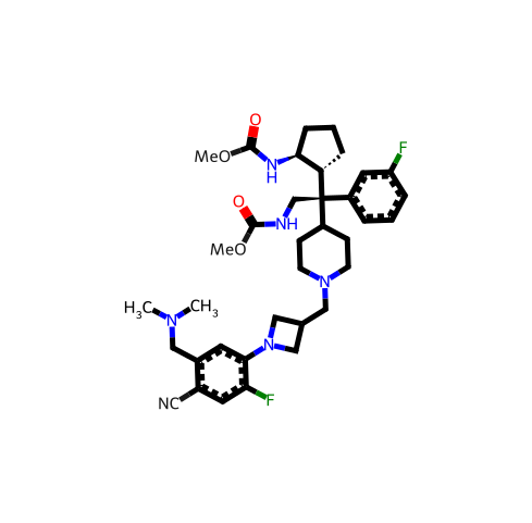 COC(=O)NC[C@@](c1cccc(F)c1)(C1CCN(CC2CN(c3cc(CN(C)C)c(C#N)cc3F)C2)CC1)[C@H]1CCC[C@@H]1NC(=O)OC